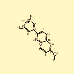 COc1ccc2nc(-c3cc(C)cc(C)c3)ccc2c1